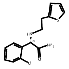 NC(=O)[C@@H](NCCc1cccs1)c1ccccc1Cl